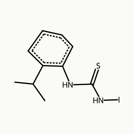 CC(C)c1ccccc1NC(=S)NI